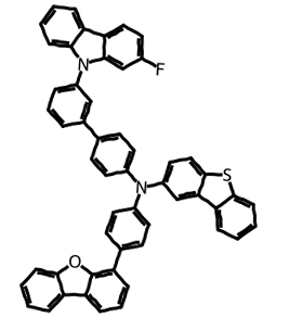 Fc1ccc2c3ccccc3n(-c3cccc(-c4ccc(N(c5ccc(-c6cccc7c6oc6ccccc67)cc5)c5ccc6sc7ccccc7c6c5)cc4)c3)c2c1